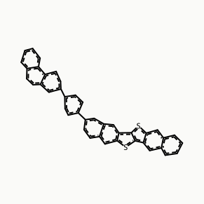 c1ccc2cc3c(cc2c1)sc1c2cc4cc(-c5ccc(-c6ccc7c(ccc8ccccc87)c6)cc5)ccc4cc2sc31